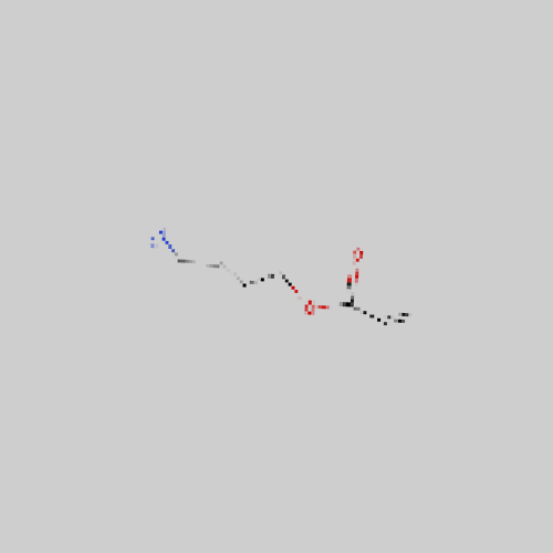 C=CC(=O)OCCC=CN